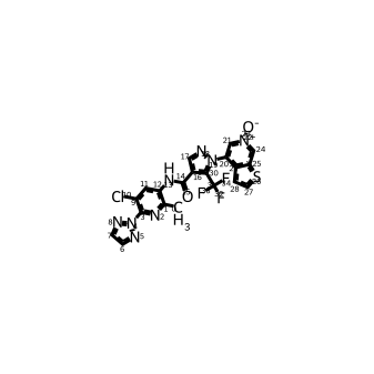 Cc1nc(-n2nccn2)c(Cl)cc1NC(=O)c1cnn(-c2c[n+]([O-])cc3sccc23)c1C(F)(F)F